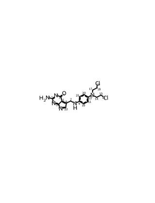 NC1=NC(=O)C2=C(CNc3ccc(N(CCCl)CCCl)cc3)C=NC2=N1